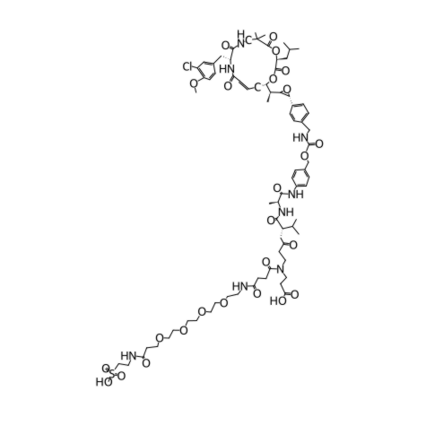 COc1ccc(C[C@H]2NC(=O)/C=C/C[C@@H]([C@H](C)[C@H]3O[C@@H]3c3ccc(CNC(=O)OCc4ccc(NC(=O)[C@H](C)NC(=O)[C@@H](CC(=O)CCN(CCC(=O)O)C(=O)CCC(=O)NCCOCCOCCOCCOCCC(=O)NCCS(=O)(=O)O)C(C)C)cc4)cc3)OC(=O)[C@H](CC(C)C)OC(=O)C(C)(C)CNC2=O)cc1Cl